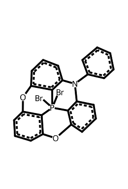 BrP12(Br)c3c4cccc3Oc3cccc(c31)N(c1ccccc1)c1cccc(c12)O4